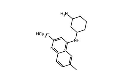 Cc1ccc2nc(C(F)(F)F)cc(NC3CCCC(N)C3)c2c1.Cl